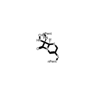 CCCCCN[C@]1(NC=O)C(=O)N2C=C(SCCCCC)CS[C@@H]21